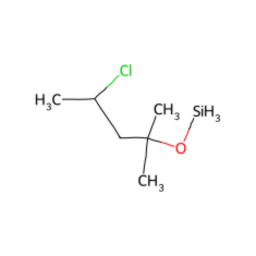 CC(Cl)CC(C)(C)O[SiH3]